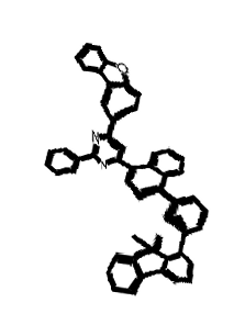 CC1(C)c2ccccc2-c2cccc(-c3cccc(-c4ccc(-c5cc(-c6ccc7oc8ccccc8c7c6)nc(-c6ccccc6)n5)c5ccccc45)c3)c21